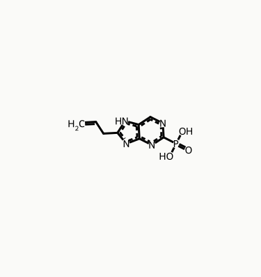 C=CCc1nc2nc(P(=O)(O)O)ncc2[nH]1